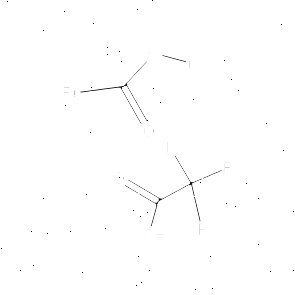 CC(=O)C(F)(F)F.CCC(=O)OC(C)C